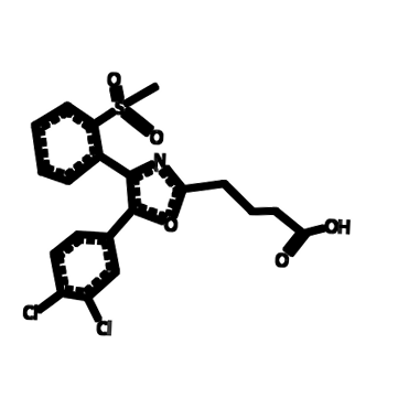 CS(=O)(=O)c1ccccc1-c1nc(CCCC(=O)O)oc1-c1ccc(Cl)c(Cl)c1